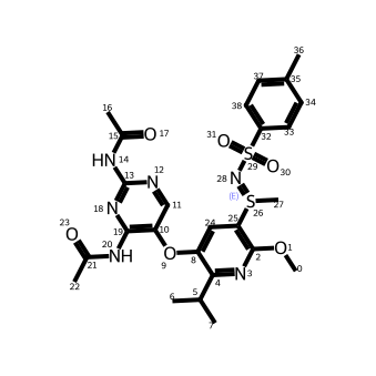 COc1nc(C(C)C)c(Oc2cnc(NC(C)=O)nc2NC(C)=O)cc1/S(C)=N/S(=O)(=O)c1ccc(C)cc1